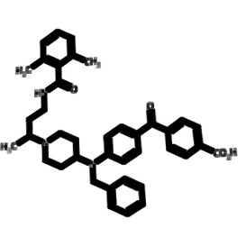 Cc1cccc(C)c1C(=O)NCCC(C)N1CCC(N(Cc2ccccc2)c2ccc(C(=O)c3ccc(C(=O)O)cc3)cc2)CC1